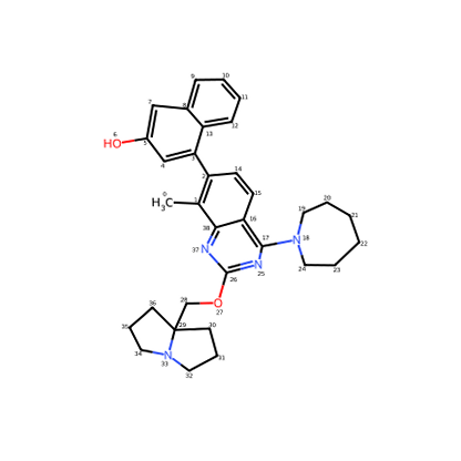 Cc1c(-c2cc(O)cc3ccccc23)ccc2c(N3CCCCCC3)nc(OCC34CCCN3CCC4)nc12